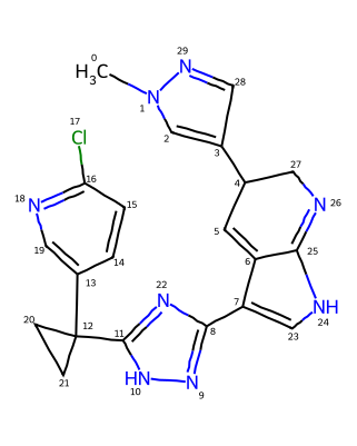 Cn1cc(C2C=c3c(-c4n[nH]c(C5(c6ccc(Cl)nc6)CC5)n4)c[nH]c3=NC2)cn1